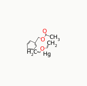 C=COC=C.CC(=O)OCc1ccccc1.[Hg]